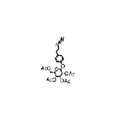 CC(=O)OC[C@H]1O[C@@H](Oc2ccc(CCN=[N+]=[N-])cc2)[C@H](OC(C)=O)[C@@H](OC(C)=O)[C@H]1OC(C)=O